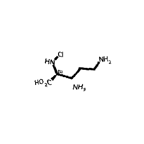 N.NCCC[C@H](NCl)C(=O)O